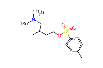 Cc1ccc(S(=O)(=O)OCCC(C)CN(C(=O)O)C(C)(C)C)cc1